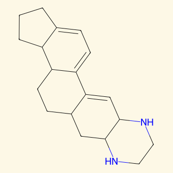 C1=C2C3=CC=C4CCCC4C3CCC2CC2NCCNC12